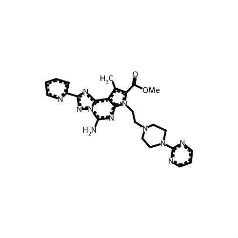 COC(=O)c1c(C)c2c(nc(N)n3nc(-c4ccccn4)nc23)n1CCN1CCN(c2ncccn2)CC1